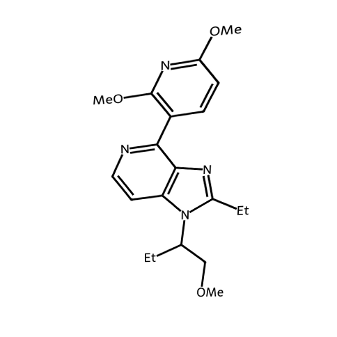 CCc1nc2c(-c3ccc(OC)nc3OC)nccc2n1C(CC)COC